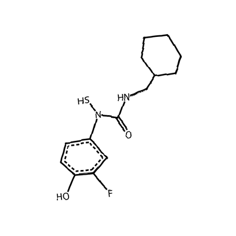 O=C(NCC1CCCCC1)N(S)c1ccc(O)c(F)c1